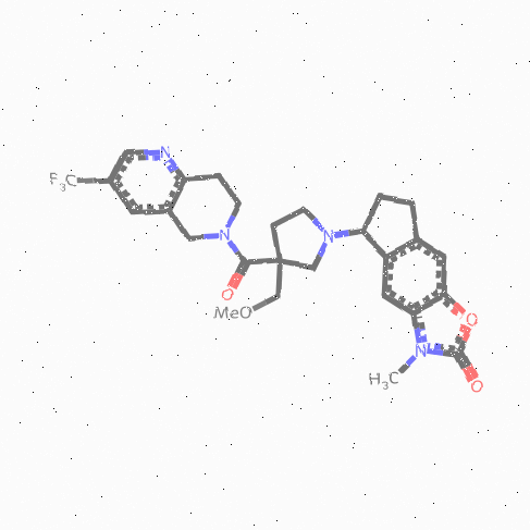 COCC1(C(=O)N2CCc3ncc(C(F)(F)F)cc3C2)CCN(C2CCc3cc4oc(=O)n(C)c4cc32)C1